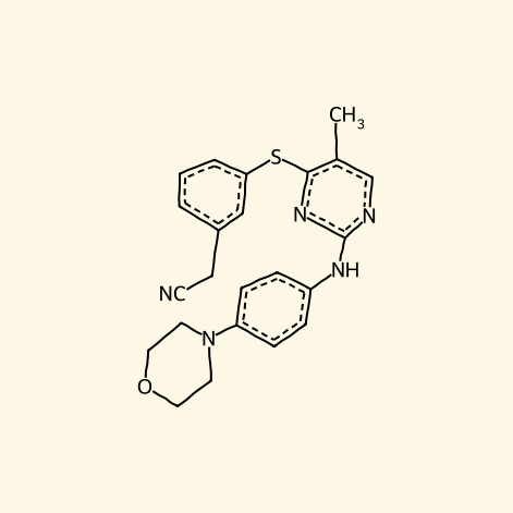 Cc1cnc(Nc2ccc(N3CCOCC3)cc2)nc1Sc1cccc(CC#N)c1